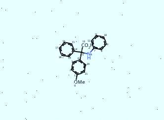 COc1ccc(C(Nc2ccccc2)(C(=O)O)c2ccccc2)cc1